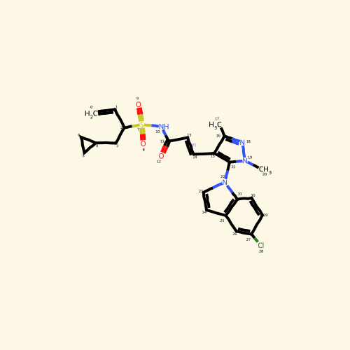 C=CC(CC1CC1)S(=O)(=O)NC(=O)/C=C/c1c(C)nn(C)c1-n1ccc2cc(Cl)ccc21